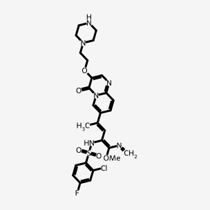 C=N/C(OC)=C(\C=C(/C)c1ccc2ncc(OCCN3CCNCC3)c(=O)n2c1)NS(=O)(=O)c1ccc(F)cc1Cl